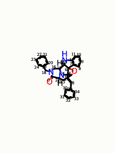 O=C1[C@@H]2CC3OC45c6ccccc6N[C@@H]4C(CN1Cc1ccccc1)N2C35/C=C/c1ccccc1